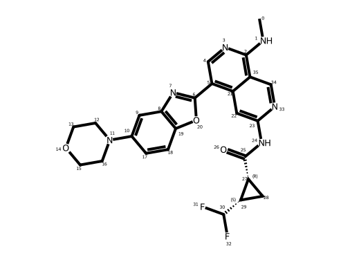 CNc1ncc(-c2nc3cc(N4CCOCC4)ccc3o2)c2cc(NC(=O)[C@@H]3C[C@@H]3C(F)F)ncc12